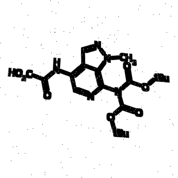 Cn1ncc2c(NC(=O)C(=O)O)cnc(N(C(=O)OC(C)(C)C)C(=O)OC(C)(C)C)c21